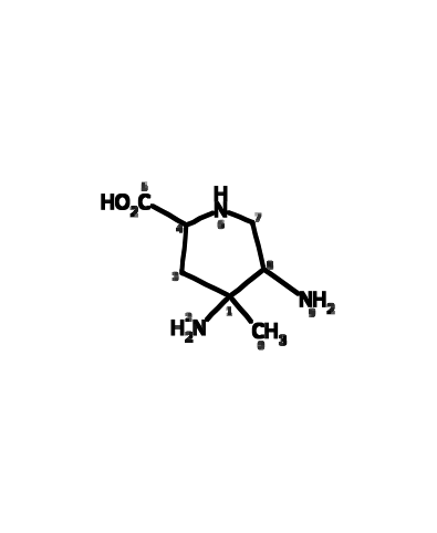 CC1(N)CC(C(=O)O)NCC1N